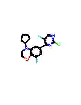 Fc1cnc(Cl)nc1-c1cc(F)c2c(c1)N(C1CCCC1)CCO2